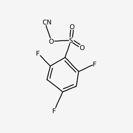 N#COS(=O)(=O)c1c(F)cc(F)cc1F